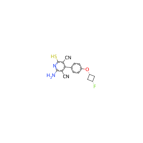 N#Cc1c(N)nc(S)c(C#N)c1-c1ccc(O[C@H]2C[C@@H](F)C2)cc1